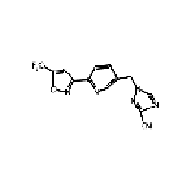 N#Cc1ncn(Cc2ccc(-c3noc(C(F)(F)F)n3)nc2)n1